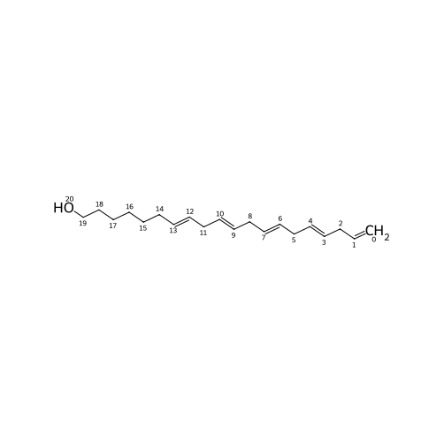 C=CCC=CCC=CCC=CCC=CCCCCCCO